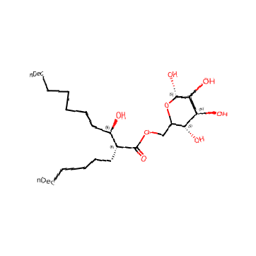 CCCCCCCCCCCCCCC[C@@H](O)[C@@H](CCCCCCCCCCCCCC)C(=O)OCC1O[C@H](O)C(O)[C@@H](O)[C@@H]1O